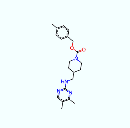 Cc1ccc(COC(=O)N2CCC(CNc3ncc(C)c(C)n3)CC2)cc1